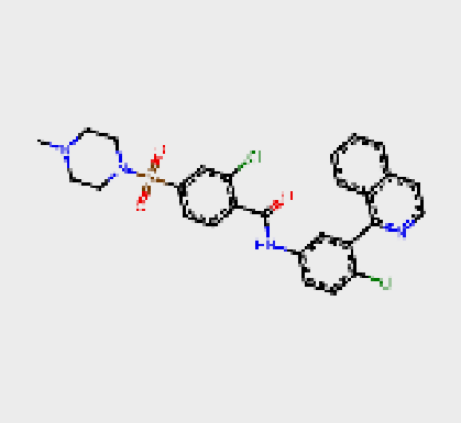 CN1CCN(S(=O)(=O)c2ccc(C(=O)Nc3ccc(Cl)c(-c4nccc5ccccc45)c3)c(Cl)c2)CC1